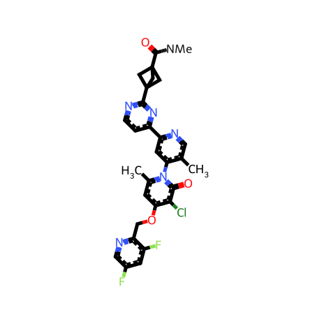 CNC(=O)C12CC(c3nccc(-c4cc(-n5c(C)cc(OCc6ncc(F)cc6F)c(Cl)c5=O)c(C)cn4)n3)(C1)C2